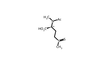 CC(=O)N(C)[C@@H](CCS(C)=S)C(=O)O